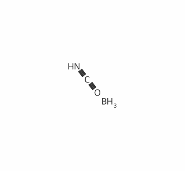 B.N=C=O